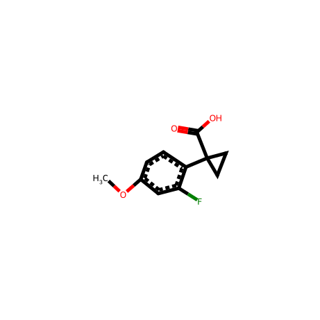 COc1ccc(C2(C(=O)O)CC2)c(F)c1